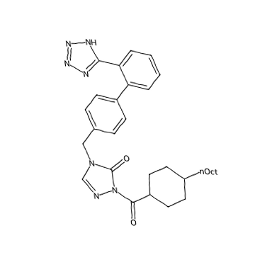 CCCCCCCCC1CCC(C(=O)n2ncn(Cc3ccc(-c4ccccc4-c4nnn[nH]4)cc3)c2=O)CC1